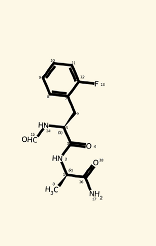 C[C@@H](NC(=O)[C@H](Cc1ccccc1F)NC=O)C(N)=O